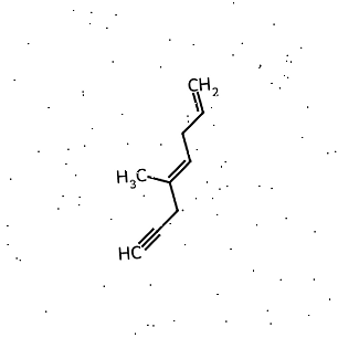 C#C[CH]/C(C)=C/CC=C